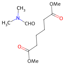 CN(C)C=O.COC(=O)CCCCC(=O)OC